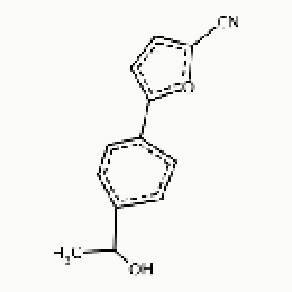 CC(O)c1ccc(-c2ccc(C#N)o2)cc1